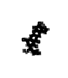 Cc1[nH]c(=O)c(CN2CCc3c(Cl)cc(C(C)C4CNC4)c(Cl)c3C2=O)c2ncoc12